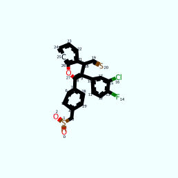 O=[SH](=O)Cc1ccc(C2=C(c3ccc(F)c(Cl)c3)C(C=S)c3ccccc3O2)cc1